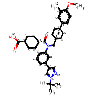 COc1ccc(C23CCC(CN(c4cccc(-c5cnn(C(C)(C)C)c5)c4)C(=O)[C@H]4CC[C@H](C(=O)O)CC4)(CC2)CC3)cc1C